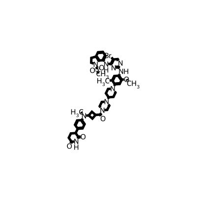 COc1cc(N2CCC(N3CCN(C(=O)C4CC(N(C)c5ccc(C6CCC(=O)NC6=O)cc5)C4)CC3)CC2)c(C)cc1Nc1ncc(Br)c(Nc2cccc3c2N(S(C)(=O)=O)CC3)n1